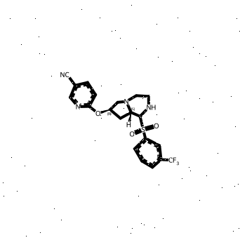 N#Cc1ccc(O[C@@H]2C[C@H]3C(S(=O)(=O)c4cccc(C(F)(F)F)c4)NCCN3C2)nc1